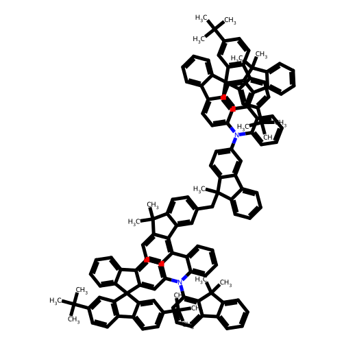 CC(C)(C)c1ccc2c(c1)C1(c3ccccc3-c3ccc(N(c4ccc5c(c4)-c4ccccc4C5(C)Cc4ccc5c(c4)-c4c(-c6ccccc6N(c6ccc7c(c6)C6(c8ccccc8-7)c7cc(C(C)(C)C)ccc7-c7ccc(C(C)(C)C)cc76)c6cccc7c6C(C)(C)c6ccccc6-7)cccc4C5(C)C)c4ccccc4-c4cccc5c4-c4ccccc4C5(C)C)cc31)c1cc(C(C)(C)C)ccc1-2